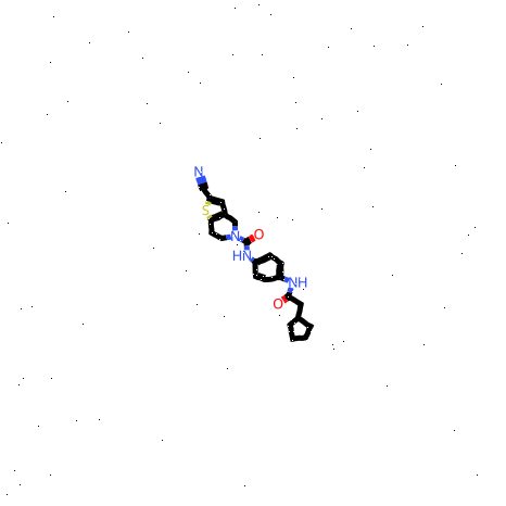 N#Cc1cc2c(s1)CCN(C(=O)Nc1ccc(NC(=O)CC3CCCC3)cc1)C2